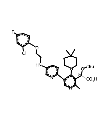 Cc1ncc(-c2ccc(NCCOc3ccc(F)cc3Cl)cn2)c(N2CCC(C)(C)CC2)c1[C@H](OC(C)(C)C)C(=O)O